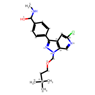 CNC(O)c1ccc(-c2nn(COCC[Si](C)(C)C)c3cnc(Cl)cc23)cc1